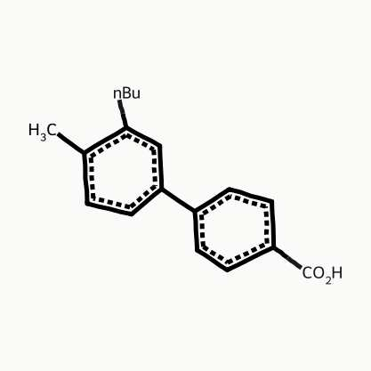 CCCCc1cc(-c2ccc(C(=O)O)cc2)ccc1C